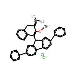 CC[Si](CC)=C1Cc2ccccc2C(C2c3cc(-c4ccccc4)ccc3-c3ccc(-c4ccccc4)cc32)=C1[O][Ti+2].[Cl-].[Cl-]